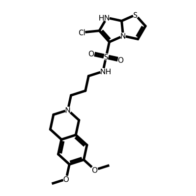 COc1cc2c(cc1OC)CN(CCCNS(=O)(=O)C1=C(Cl)NC3SC=CN13)CC2